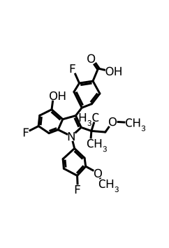 COCC(C)(C)c1c(-c2ccc(C(=O)O)c(F)c2)c2c(O)cc(F)cc2n1-c1ccc(F)c(OC)c1